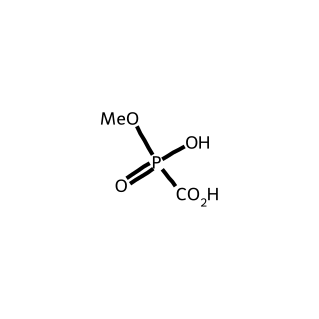 COP(=O)(O)C(=O)O